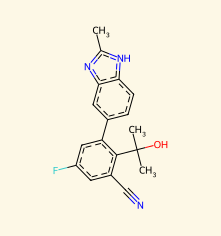 Cc1nc2cc(-c3cc(F)cc(C#N)c3C(C)(C)O)ccc2[nH]1